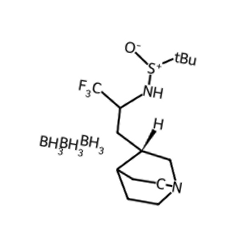 B.B.B.CC(C)(C)[S+]([O-])NC(C[C@@H]1CN2CCC1CC2)C(F)(F)F